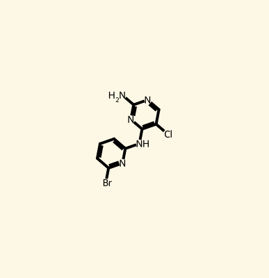 Nc1ncc(Cl)c(Nc2cccc(Br)n2)n1